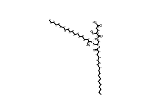 CCCCCCCCCCCCCCCCCC(=O)OC(CNC(=O)C(CCC(=O)O)N=O)COC(O)CCCCCCCCCCCCCCCCC